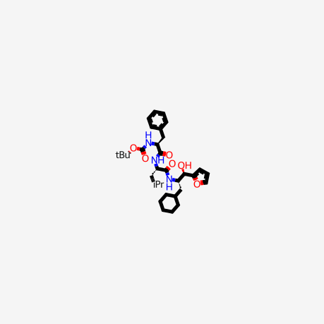 CC(C)C[C@H](NC(=O)[C@H](Cc1ccccc1)NC(=O)OC(C)(C)C)C(=O)N[C@@H](CC1CCCCC1)[C@@H](O)c1ccco1